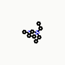 c1ccc(-c2cccc(-c3nc(-c4cccc(-c5ccccc5)c4)nc(-c4ccc5nc(-c6ccccc6)c6cccc(-c7ccccc7)c6c5c4)n3)c2)cc1